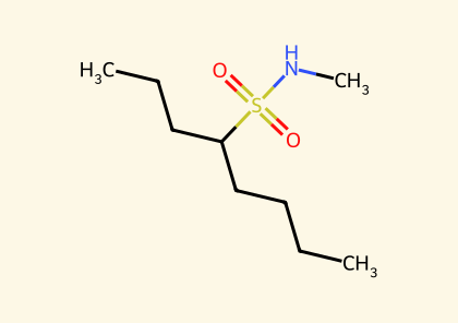 CCCCC(CCC)S(=O)(=O)NC